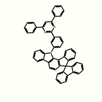 c1ccc(-c2cc(-c3ccccc3)nc(-c3cccc(-n4c5ccccc5c5ccc6c(c54)-c4ccccc4C64c5ccccc5-c5ccccc54)c3)n2)cc1